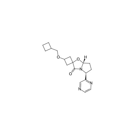 O=C1N2[C@@H](CC[C@H]2c2cnccn2)OC12CC(OCC1CCC1)C2